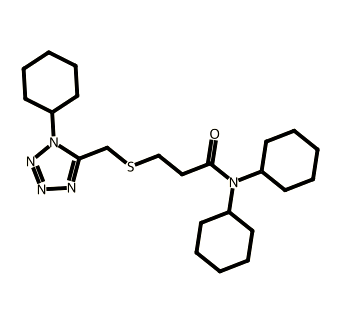 O=C(CCSCc1nnnn1C1CCCCC1)N(C1CCCCC1)C1CCCCC1